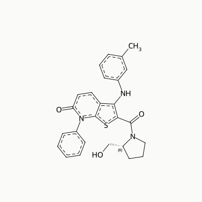 Cc1cccc(Nc2c(C(=O)N3CCC[C@@H]3CO)sc3c2ccc(=O)n3-c2ccccc2)c1